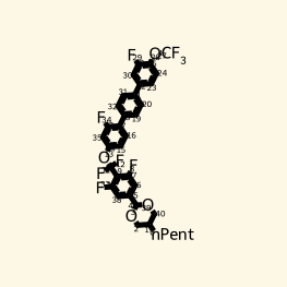 CCCCCC1COC(c2cc(F)c(C(F)(F)Oc3ccc(-c4ccc(-c5ccc(OC(F)(F)F)c(F)c5)cc4)c(F)c3)c(F)c2)OC1